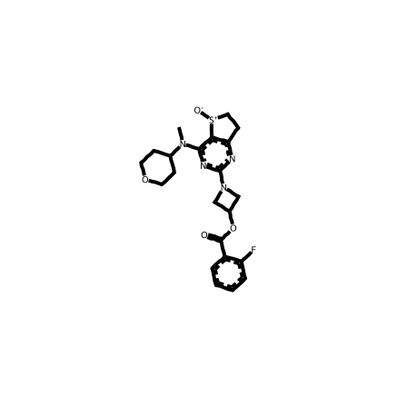 CN(c1nc(N2CC(OC(=O)c3ccccc3F)C2)nc2c1[S+]([O-])CC2)C1CCOCC1